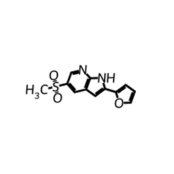 CS(=O)(=O)c1cnc2[nH]c(-c3ccco3)cc2c1